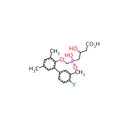 Cc1cc(C)c(OCP(=O)(O)CC(O)CC(=O)O)c(-c2ccc(F)c(C)c2)c1